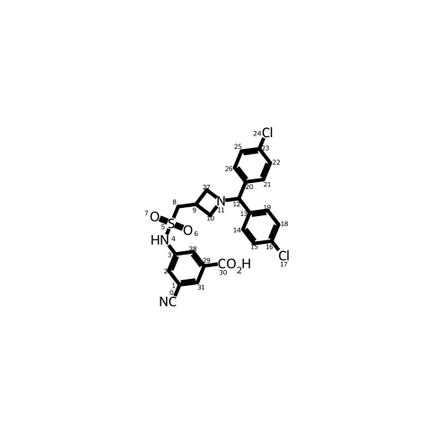 N#Cc1cc(NS(=O)(=O)CC2CN(C(c3ccc(Cl)cc3)c3ccc(Cl)cc3)C2)cc(C(=O)O)c1